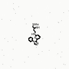 CNCC(=N)CCNc1cccc(-c2nncn2-c2ccccc2)n1